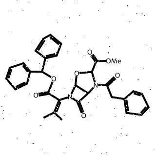 COC(=O)C1OC2C(C(=O)N2C(C(=O)OC(c2ccccc2)c2ccccc2)=C(C)C)N1C(=O)Cc1ccccc1